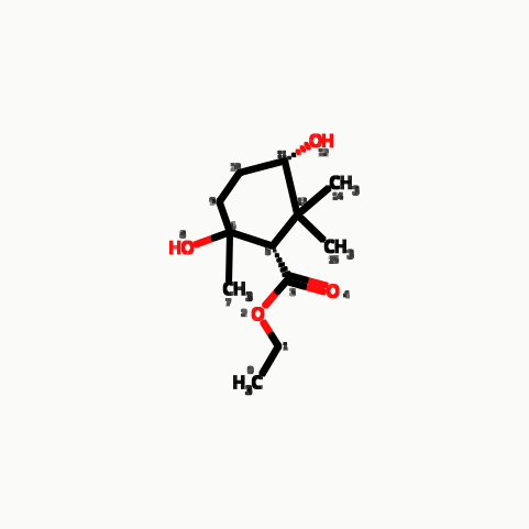 CCOC(=O)[C@@H]1C(C)(O)CC[C@H](O)C1(C)C